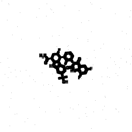 Cc1c([C@H]2c3c([nH]c4cc(C(C)(C)O)ccc34)[C@@H](C(N)=O)CC2F)cccc1-n1c(=O)[nH]c2c(F)cc(F)cc2c1=O